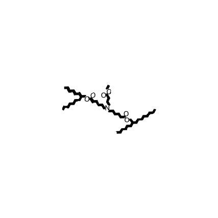 CCCCCCCCC(CCCCCC)COC(=O)CCCCCN(CCCCCC(=O)OCC(CCCCCC)CCCCCCC)CCCC(=O)OCC